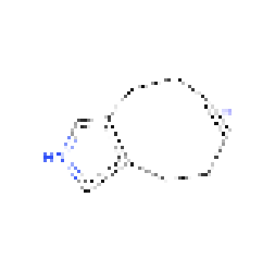 C1=C\CCc2c[nH]cc2CC/1